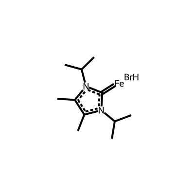 Br.Cc1c(C)n(C(C)C)[c](=[Fe])n1C(C)C